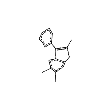 CC1=C(c2ccccc2)c2cc(C)c(C)cc2[CH]1